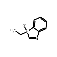 [CH2]C[N+]1([O-])C=Nc2ccccc21